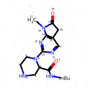 CCCCNC(=O)C1CNCCN1c1ncc2c(n1)N(C)C(=O)C2